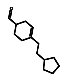 O=CC1CC=C(CCC2CCCC2)CC1